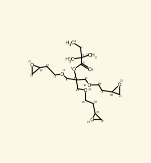 CCC(C)(C)C(=O)OC(COCCC1CO1)(COCCC1CO1)COCCC1CO1